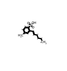 CCCCC=Cc1cc(C)ccc1S(=O)(=O)O